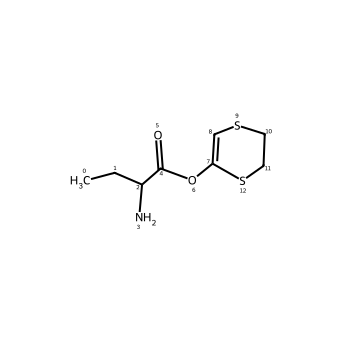 CCC(N)C(=O)OC1=CSCCS1